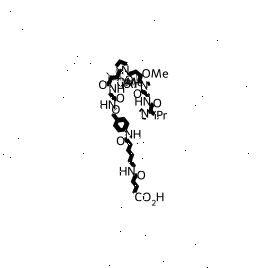 CC[C@H](C)[C@@H]([C@@H](CC(=O)N1CCC[C@H]1[C@H](OC)[C@@H](C)C(=O)NCC(=O)NOCc1ccc(NC(=O)CCCCCNC(=O)CCCC(=O)O)cc1)OC)N(C)C(=O)CNC(=O)C(C(C)C)N(C)C